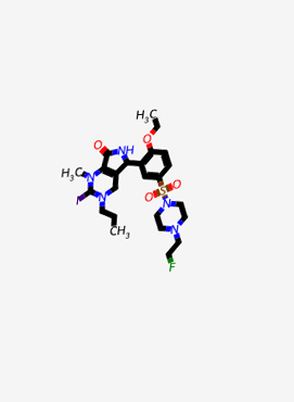 CCCN1CC2=C(C(=O)NC2c2cc(S(=O)(=O)N3CCN(CCF)CC3)ccc2OCC)N(C)C1I